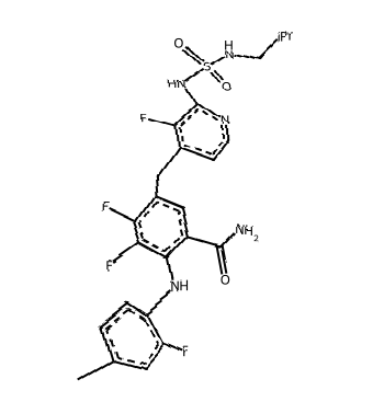 Cc1ccc(Nc2c(C(N)=O)cc(Cc3ccnc(NS(=O)(=O)NCC(C)C)c3F)c(F)c2F)c(F)c1